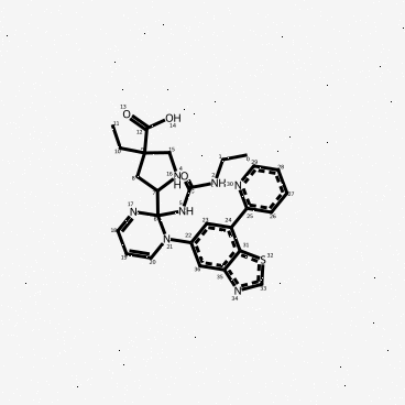 CCNC(=O)NC1(C2CC(CC)(C(=O)O)CN2)N=CC=CN1c1cc(-c2ccccn2)c2scnc2c1